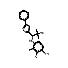 Cc1c(N[C@@H](C2=NN=C(c3ccccc3)C2)C(C)(C)O)ccc(C#N)c1Cl